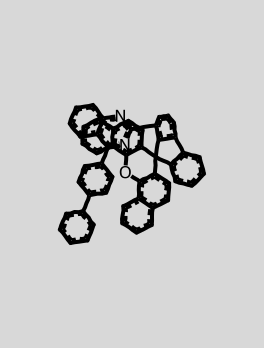 c1ccc(-c2ccc(-c3nc(-c4cccc5c4C4(c6ccccc6-5)c5ccc6ccccc6c5Oc5c4ccc4ccccc54)nc4ccccc34)cc2)cc1